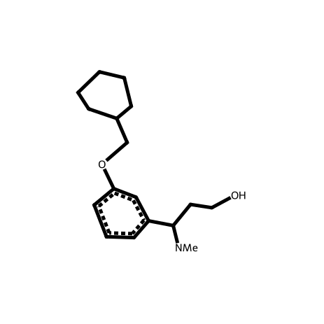 CNC(CCO)c1cccc(OCC2CCCCC2)c1